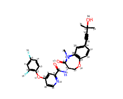 CN1C(=O)[C@@H](NC(=O)c2cc(Oc3ccc(F)cc3F)ccn2)COc2ccc(C#CC(C)(C)O)cc21